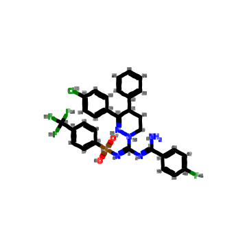 N/C(=N\C(=N\S(=O)(=O)c1ccc(C(F)(F)F)cc1)N1CCC(c2ccccc2)C(c2ccc(Cl)cc2)=N1)c1ccc(F)cc1